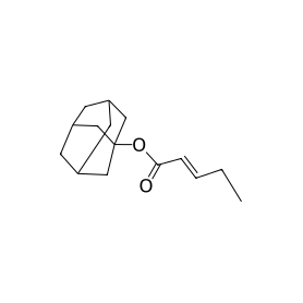 CCC=CC(=O)OC12CC3CC(CC(C3)C1)C2